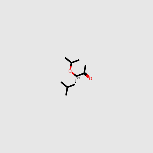 CC(=O)[C@H](CC(C)C)OC(C)C